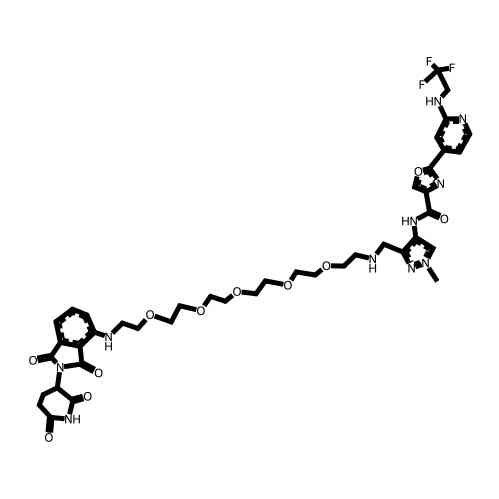 Cn1cc(NC(=O)c2coc(-c3ccnc(NCC(F)(F)F)c3)n2)c(CNCCOCCOCCOCCOCCOCCNc2cccc3c2C(=O)N(C2CCC(=O)NC2=O)C3=O)n1